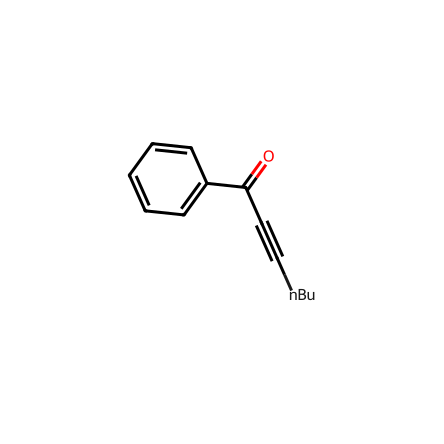 CCCCC#CC(=O)c1ccccc1